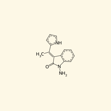 CC(=C1C(=O)N(N)c2ccccc21)c1ccc[nH]1